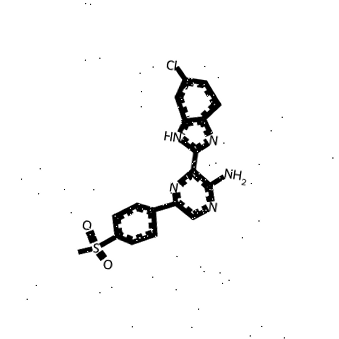 CS(=O)(=O)c1ccc(-c2cnc(N)c(-c3nc4ccc(Cl)cc4[nH]3)n2)cc1